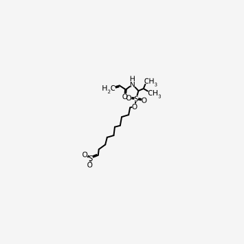 C=CC(=O)NC(C(C)C)S(=O)(=O)OCCCCCCCCCC=S(=O)=O